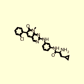 Cn1c(=O)c(-c2ccccc2Cl)cc2cnc(Nc3cccc(NC(=O)C(N)=CC4CC4)c3)nc21